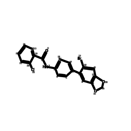 O=C(Nc1ccc(-c2cc3c(cc2Br)OCO3)cn1)c1ncccc1Cl